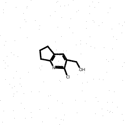 OCc1cc2c(nc1Cl)CCC2